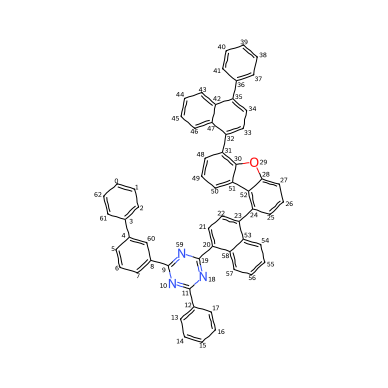 c1ccc(-c2cccc(-c3nc(-c4ccccc4)nc(-c4ccc(-c5cccc6oc7c(-c8ccc(-c9ccccc9)c9ccccc89)cccc7c56)c5ccccc45)n3)c2)cc1